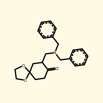 O=C1CCC2(CC1CN(Cc1ccccc1)Cc1ccccc1)OCCO2